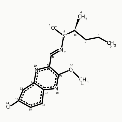 CCC[C@H](C)[S+]([O-])N=Cc1nc2cc(Cl)ccc2nc1OC